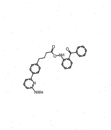 CNc1cccc(-c2ccc(CCCC(=O)ONc3ccccc3C(=O)c3ccccc3)cc2)n1